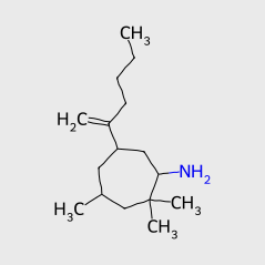 C=C(CCCC)C1CC(C)CC(C)(C)C(N)C1